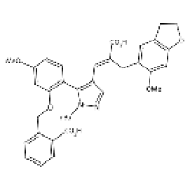 CCCCn1ncc(/C=C(\Cc2cc3c(cc2OC)OCC3)C(=O)O)c1-c1ccc(OC)cc1OCc1ccccc1C(=O)O